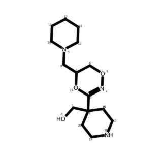 OCC1(C2=NOCC(CN3CCCCC3)O2)CCNCC1